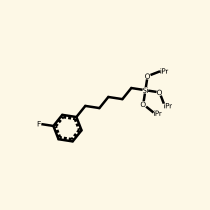 CC(C)O[Si](CCCCCc1cccc(F)c1)(OC(C)C)OC(C)C